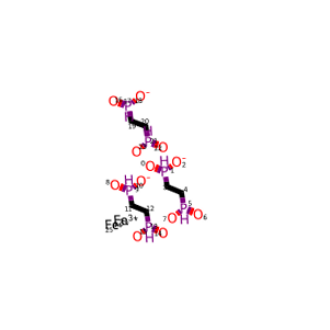 O=[PH]([O-])CC[PH](=O)[O-].O=[PH]([O-])CC[PH](=O)[O-].O=[PH]([O-])CC[PH](=O)[O-].[Fe+3].[Fe+3]